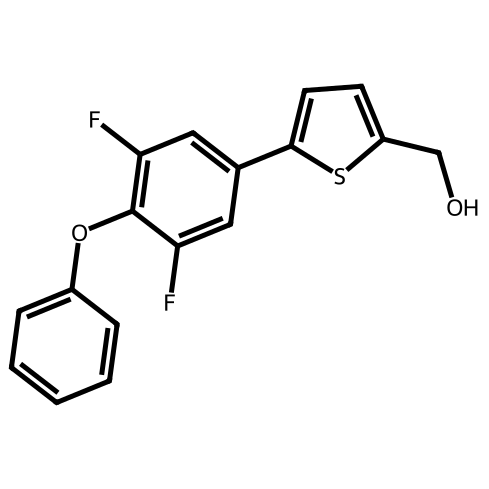 OCc1ccc(-c2cc(F)c(Oc3ccccc3)c(F)c2)s1